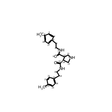 Cc1ccc(CCNC(=O)C2CNC[C@H]2C(=O)NCCc2ccc(C)cc2)cc1